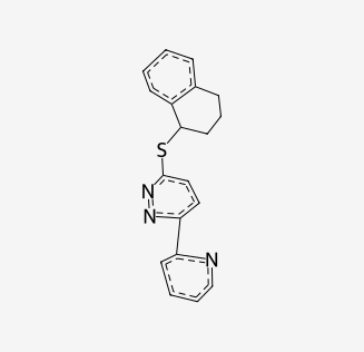 c1ccc(-c2ccc(SC3CCCc4ccccc43)nn2)nc1